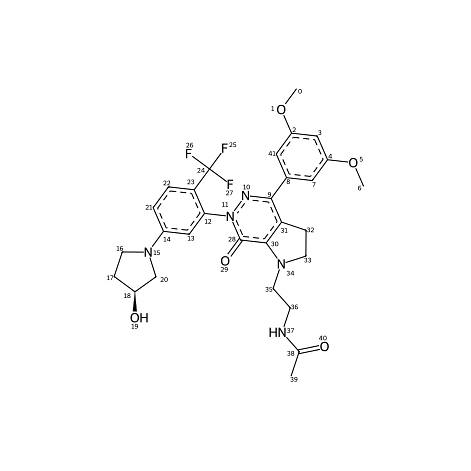 COc1cc(OC)cc(-c2nn(-c3cc(N4CC[C@H](O)C4)ccc3C(F)(F)F)c(=O)c3c2CCN3CCNC(C)=O)c1